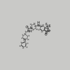 O=C(NCC1CCN(c2ccccc2)CC1)N1CCC(Nc2ccc([N+](=O)[O-])c(C(F)(F)F)c2)CC1